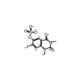 Cn1c(=O)c2cc(OS(=O)(=O)Cl)c(F)cc2n(C)c1=O